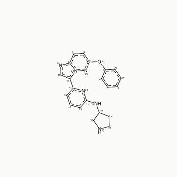 c1ccc(Oc2ccc3ncc(-c4cccc(NC5CCNC5)n4)n3n2)cc1